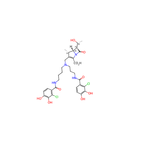 C[C@@H](O)[C@H]1C(=O)N2C(C(=O)O)=C(CN(CCCCNC(=O)c3ccc(O)c(O)c3Cl)CCCNC(=O)c3ccc(O)c(O)c3Cl)[C@H](C)[C@H]12